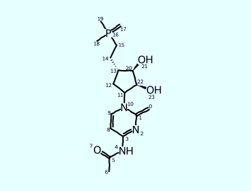 C=C1N=C(NC(C)=O)C=CN1C1C[C@H](CCP(=C)(C)C)[C@@H](O)[C@H]1O